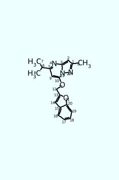 Cc1cc2nc(C(C)C)cc(OCc3cc4ccccc4o3)n2n1